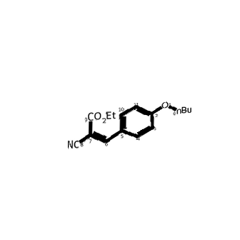 CCCCOc1ccc(C=C(C#N)C(=O)OCC)cc1